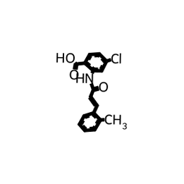 Cc1ccccc1C=CC(=O)Nc1cc(Cl)ccc1C(=O)O